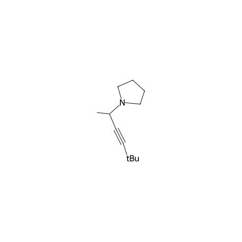 CC(C#CC(C)(C)C)N1CCCC1